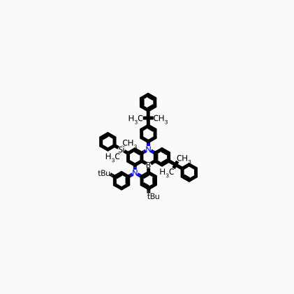 CC(C)(C)C1=CC(N2c3cc(C(C)(C)C)ccc3B3c4cc(C(C)(C)C5C=CCCC5)ccc4N(C4CC=C(C(C)(C)c5ccccc5)CC4)C4=CC([Si](C)(C)C5CC=CCC5)CC2C34)=CCC1